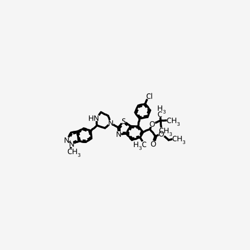 CCOC(=O)C(OC(C)(C)C)c1c(C)cc2nc(N3CCNC(c4ccc5c(cnn5C)c4)C3)sc2c1-c1ccc(Cl)cc1